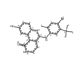 Cc1cc(Br)c(C(C)(C)C)cc1Nc1nc2ccc(F)cc2c2c(=O)[nH]ccc12